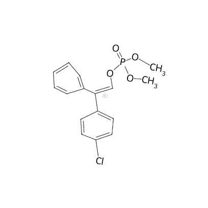 COP(=O)(OC)O/C=C(\c1ccccc1)c1ccc(Cl)cc1